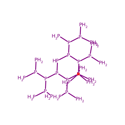 PP(P)P(P)P(PP(P(P(P)P)P(P)P)P(P(P)P)P(P)P)P(P(P)P)P(P)P